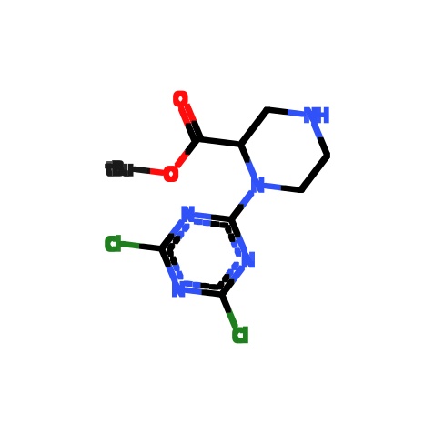 CC(C)(C)OC(=O)C1CNCCN1c1nc(Cl)nc(Cl)n1